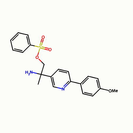 COc1ccc(-c2ccc(C(C)(N)COS(=O)(=O)c3ccccc3)cn2)cc1